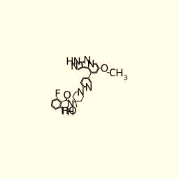 CCOc1cc(-c2ccc(N3CCC(CO)(NC(=O)c4c(F)cccc4F)CC3)nc2)c2c3cn[nH]c3nn2c1